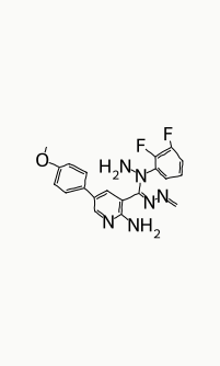 C=N/N=C(/c1cc(-c2ccc(OC)cc2)cnc1N)N(N)c1cccc(F)c1F